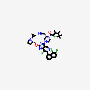 C/C(=C(/F)C(=O)N1CCN(c2nc(OC[C@@H]3CCCN3C3CC3)nc3c(F)c(-c4cccc5ccc(F)c(Cl)c45)ncc23)C[C@@H]1CC#N)C(C)C(C)(C)C